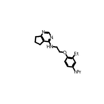 CCCc1ccc(OCCNc2ncnc3c2CCC3)c(CC)c1